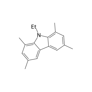 CCn1c2c(C)cc(C)cc2c2cc(C)cc(C)c21